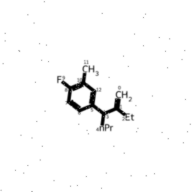 C=C(CC)C(CCC)c1ccc(F)c(C)c1